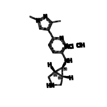 Cc1nn(C)cc1-c1ccc(N[C@H]2[C@@H]3CNC[C@@H]32)nn1.Cl.Cl